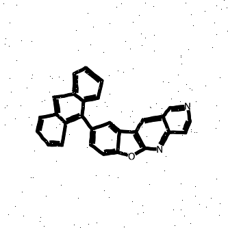 c1ccc2c(-c3ccc4oc5nc6ccncc6cc5c4c3)c3ccccc3cc2c1